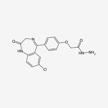 NNC(=O)COc1ccc(C2=NCC(=O)Nc3ccc(Cl)cc32)cc1